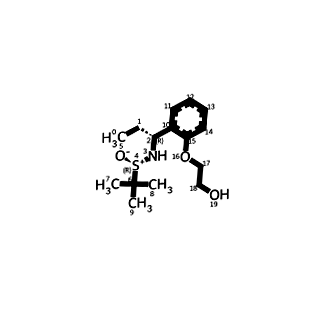 CC[C@@H](N[S@@+]([O-])C(C)(C)C)c1ccccc1OCCO